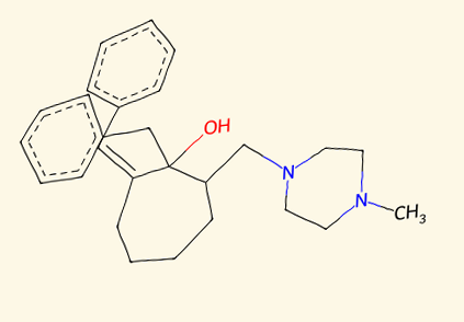 CN1CCN(CC2CCCC/C(=C/c3ccccc3)C2(O)Cc2ccccc2)CC1